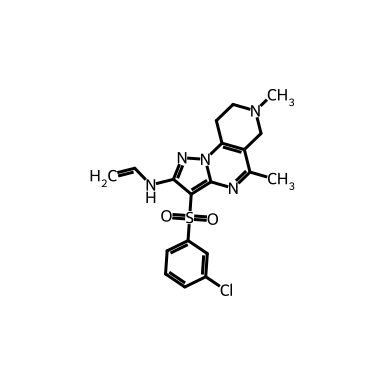 C=CNc1nn2c3c(c(C)nc2c1S(=O)(=O)c1cccc(Cl)c1)CN(C)CC3